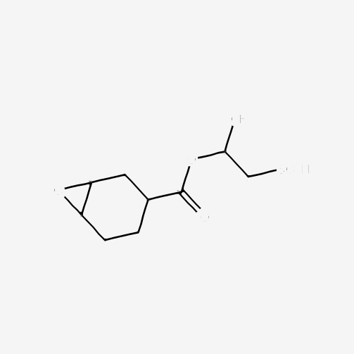 O=C(OC(CS(=O)(=O)O)C(F)(F)F)C1CCC2OC2C1